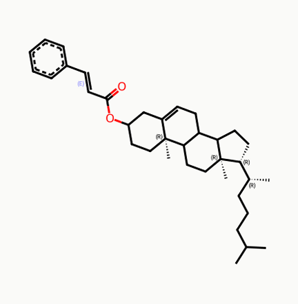 CC(C)CCC[C@@H](C)[C@H]1CCC2C3CC=C4CC(OC(=O)/C=C/c5ccccc5)CC[C@]4(C)C3CC[C@@]21C